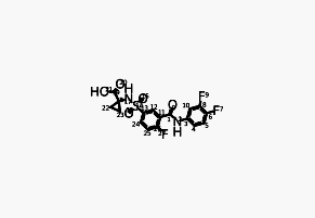 O=C(Nc1ccc(F)c(F)c1)c1cc(S(=O)(=O)NC2(C(=O)O)CC2)ccc1F